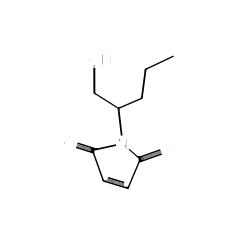 CCCC(CO)N1C(=O)C=CC1=O